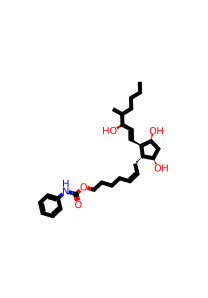 CCCCC(C)[C@H](O)/C=C/[C@@H]1[C@@H](C/C=C\CCCCOC(=O)Nc2ccccc2)[C@@H](O)C[C@H]1O